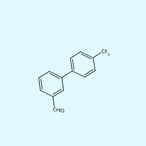 O=Cc1cccc(-c2ccc(C(F)(F)F)cc2)c1